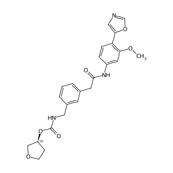 COc1cc(NC(=O)Cc2cccc(CNC(=O)O[C@H]3CCOC3)c2)ccc1-c1cnco1